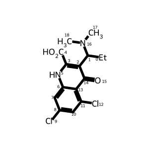 CCC(c1c(C(=O)O)[nH]c2cc(Cl)cc(Cl)c2c1=O)N(C)C